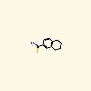 NC(=S)c1ccc2c(c1)CCCC2